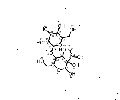 O=[N+]([O-])[C@]1(O)C(O)O[C@H](CO)[C@@H](O[C@@H]2O[C@H](CO)[C@H](O)[C@H](O)[C@H]2O)[C@H]1O